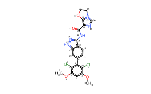 COc1cc(OC)c(Cl)c(-c2ccc3c(NC(=O)c4ncn5c4OCC5)n[nH]c3c2)c1Cl